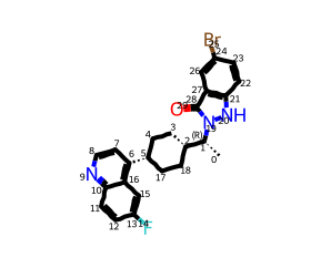 C[C@H]([C@H]1CC[C@@H](c2ccnc3ccc(F)cc32)CC1)n1[nH]c2ccc(Br)cc2c1=O